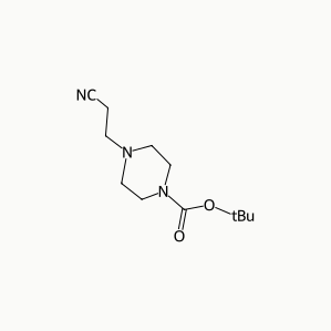 CC(C)(C)OC(=O)N1CCN(CCC#N)CC1